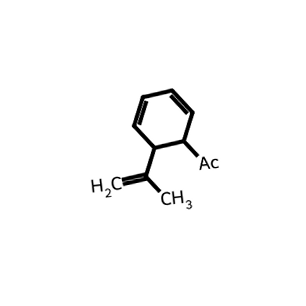 C=C(C)C1C=CC=CC1C(C)=O